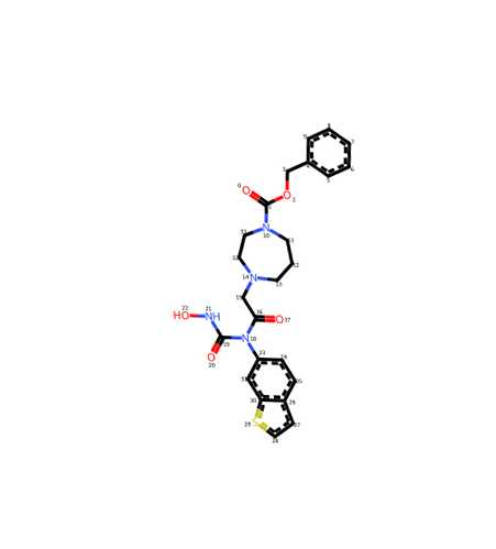 O=C(OCc1ccccc1)N1CCCN(CC(=O)N(C(=O)NO)c2ccc3ccsc3c2)CC1